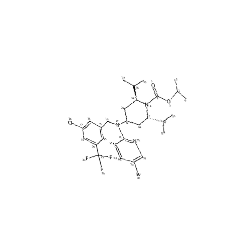 CC(C)OC(=O)N1[C@H](C(C)C)CC(N(Cc2cc(Cl)cc(C(F)(F)F)c2)c2ncc(Br)cn2)C[C@H]1C(C)C